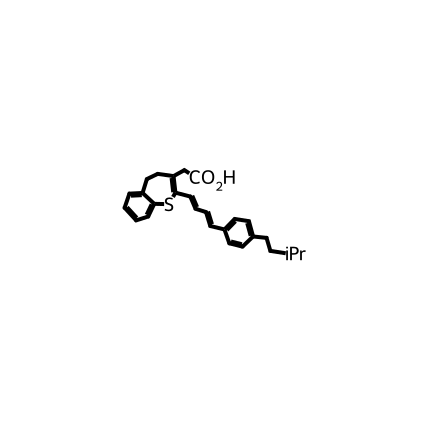 CC(C)CCc1ccc(/C=C/C=C/C2=C(CC(=O)O)CCc3ccccc3S2)cc1